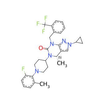 Cc1cccc(F)c1N1CCC(N2C(=O)N(Cc3ccccc3C(F)(F)F)c3nn(C4CC4)cc3[C@@H]2C)CC1